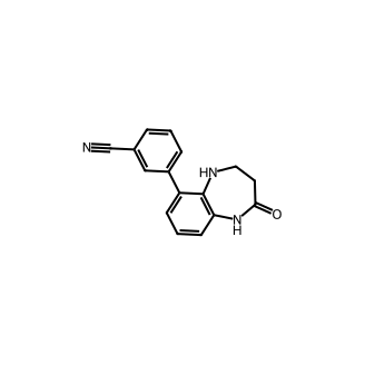 N#Cc1cccc(-c2cccc3c2NCCC(=O)N3)c1